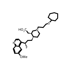 COc1ccc2nccc([C@H](F)CC[C@@H]3CCN(CCCSC4CCCCCC4)C[C@@H]3CC(=O)O)c2c1